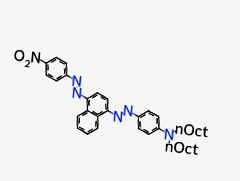 CCCCCCCCN(CCCCCCCC)c1ccc(N=Nc2ccc(N=Nc3ccc([N+](=O)[O-])cc3)c3ccccc23)cc1